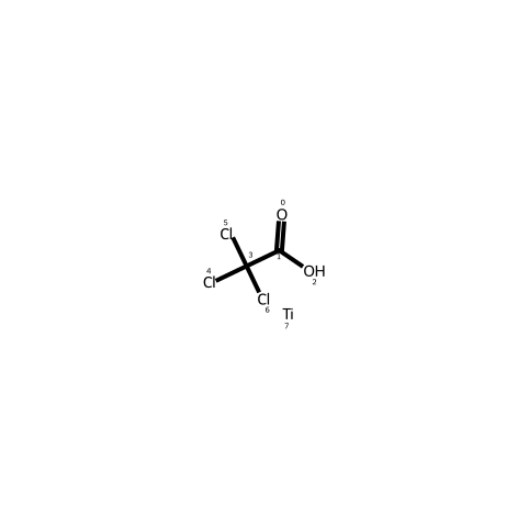 O=C(O)C(Cl)(Cl)Cl.[Ti]